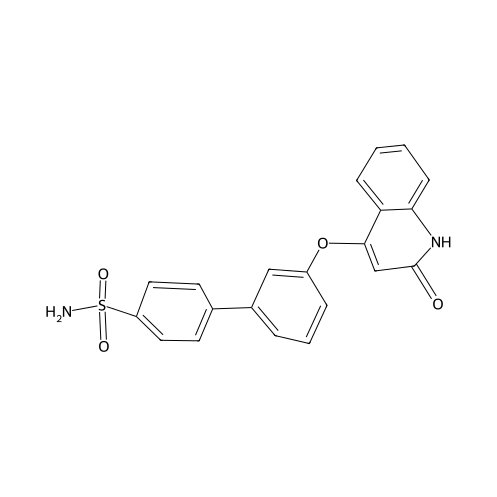 NS(=O)(=O)c1ccc(-c2cccc(Oc3cc(=O)[nH]c4ccccc34)c2)cc1